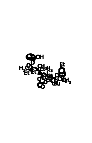 CCC1CC2CC(C)C(C)(OC(=O)C3(CC(C)(C)C)CC3(CC)C(C)(CC)CC3(C(=O)OC4CCOC4=O)CC3(CC)C(C)(CC)CC3(C(=O)OC45CC6CC(CC(O)(C6)C4)C5)CC3(C)CC)C(C1)C2